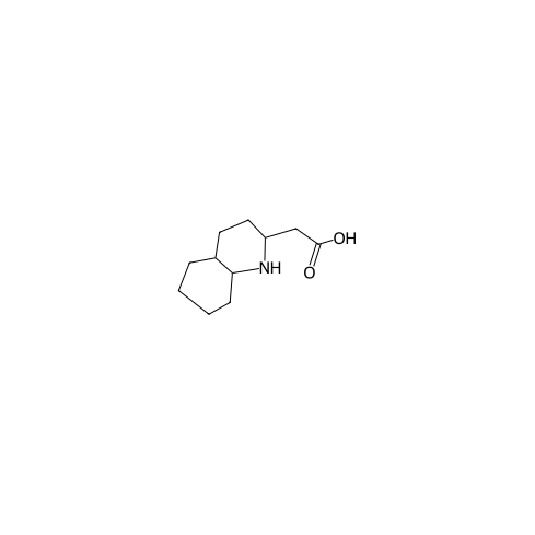 O=C(O)CC1CCC2CCCCC2N1